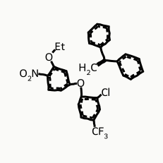 C=C(c1ccccc1)c1ccccc1.CCOc1cc(Oc2ccc(C(F)(F)F)cc2Cl)ccc1[N+](=O)[O-]